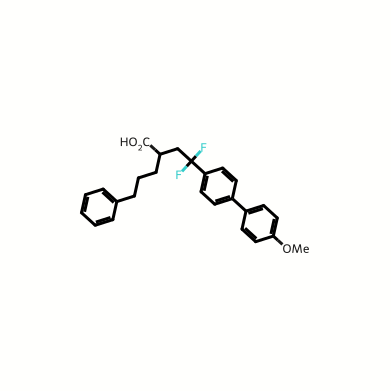 COc1ccc(-c2ccc(C(F)(F)CC(CCCc3ccccc3)C(=O)O)cc2)cc1